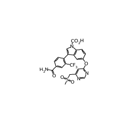 CS(=O)(=O)Cc1cc(Oc2ccc3c(c2)c(-c2ccc(C(N)=O)cc2C(F)(F)F)cn3C(=O)O)ncn1